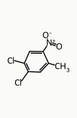 Cc1cc(Cl)c(Cl)cc1[N+](=O)[O-]